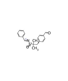 CC(C)(Cc1ccc(C=O)cc1)[S@@+]([O-])/N=C/c1ccccc1